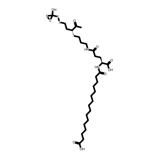 CC(=O)[C@H](CCCCNC(=O)CC[C@H](NC(=O)CCCCCCCCCCCCCCC(=O)O)C(=O)O)CCSSC1(O)SS1